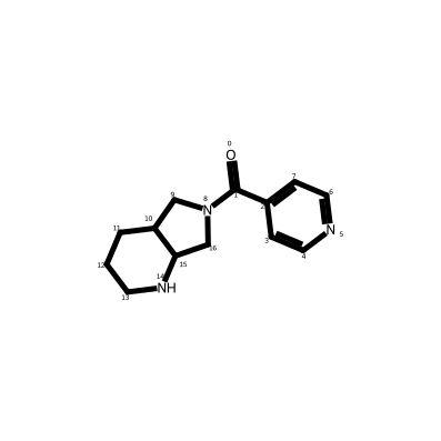 O=C(c1ccncc1)N1CC2CCCNC2C1